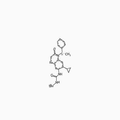 C[C@@H](c1ccccc1)n1c(=O)cnc2cc(NC(=O)NC(C)(C)C)c(C3CC3)cc21